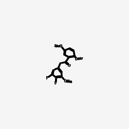 COc1ccc(OC)c(C(=O)Cc2cc(F)c(F)c(OC)c2)c1